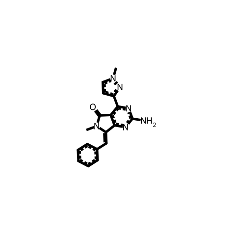 CN1C(=O)c2c(nc(N)nc2-c2ccn(C)n2)C1=Cc1ccccc1